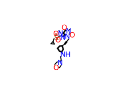 Cn1c(=O)c2c(nc(S(=O)(=O)CC3CC3)n2C)n(CC#Cc2cccc(NCCN3CCOCC3)c2)c1=O